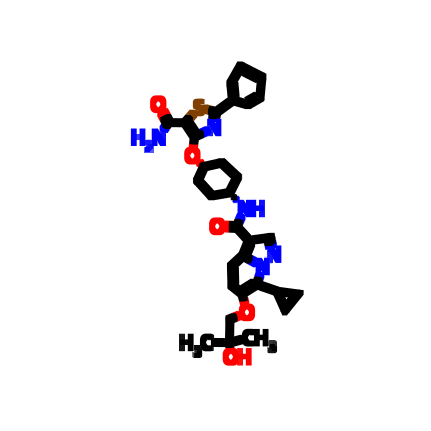 CC(C)(O)COc1ccc2c(C(=O)N[C@H]3CC[C@H](Oc4nc(-c5ccccc5)sc4C(N)=O)CC3)cnn2c1C1CC1